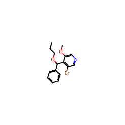 CCCOC(c1ccccc1)c1c(Br)cncc1OC